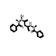 C=C(CC(=C)N(C(C)=O)N(C)C(=S)c1ccccc1)NN(C)C(=S)c1ccccc1